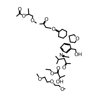 C1CCOC1.CC#N.CC(=O)CC(C)C.CCC(C)=O.CCOC(=O)C(C)O.COCC(C)OC(C)=O.COCCOCCOC.O=C1CCCCC1.OCc1ccccc1